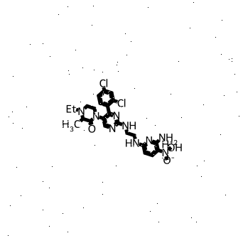 CCN1CCN(c2cnc(NCCNc3ccc([NH+]([O-])O)c(N)n3)nc2-c2ccc(Cl)cc2Cl)C(=O)C1C